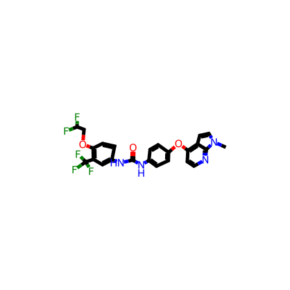 Cn1ccc2c(Oc3ccc(NC(=O)Nc4ccc(OCC(F)F)c(C(F)(F)F)c4)cc3)ccnc21